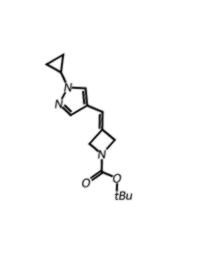 CC(C)(C)OC(=O)N1CC(=Cc2cnn(C3CC3)c2)C1